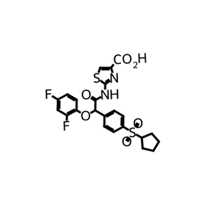 O=C(O)c1csc(NC(=O)C(Oc2ccc(F)cc2F)c2ccc(S(=O)(=O)C3CCCC3)cc2)n1